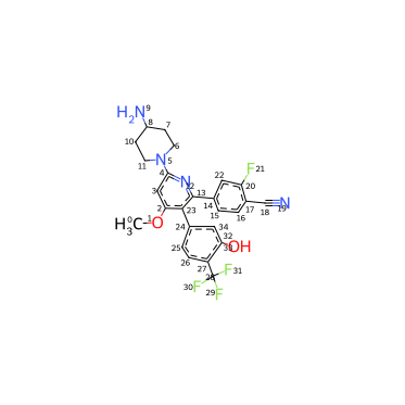 COc1cc(N2CCC(N)CC2)nc(-c2ccc(C#N)c(F)c2)c1-c1ccc(C(F)(F)F)c(O)c1